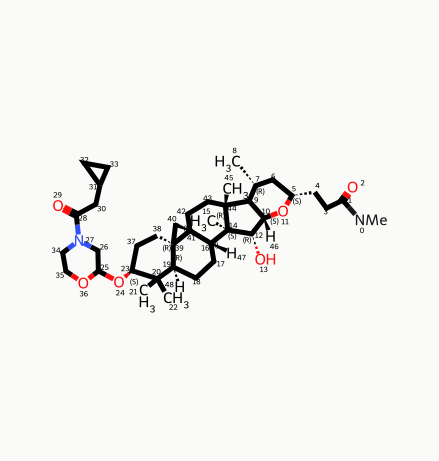 CNC(=O)CC[C@H]1C[C@@H](C)C2[C@H](O1)[C@H](O)[C@@]1(C)[C@@H]3CC[C@H]4C(C)(C)[C@@H](OC5CN(C(=O)CC6CC6)CCO5)CC[C@@]45C[C@@]35CC[C@]21C